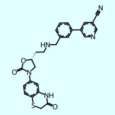 N#Cc1cncc(-c2cccc(CNCC[C@@H]3CN(c4ccc5c(c4)NC(=O)CS5)C(=O)O3)c2)c1